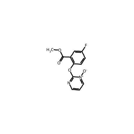 COC(=O)c1cc(F)ccc1Oc1nccc[n+]1[O-]